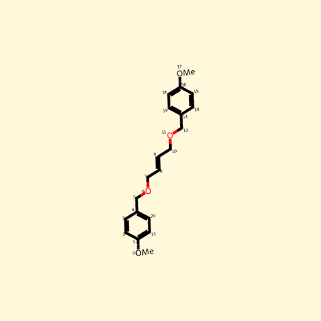 COc1ccc(COC/C=C/COCc2ccc(OC)cc2)cc1